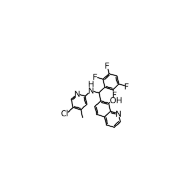 Cc1cc(NC(c2ccc3cccnc3c2O)c2c(F)c(F)cc(F)c2F)ncc1Cl